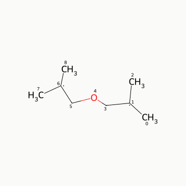 C[C](C)COC[C](C)C